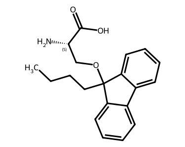 CCCCC1(OC[C@H](N)C(=O)O)c2ccccc2-c2ccccc21